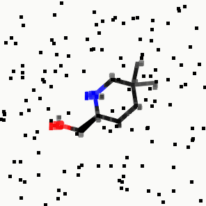 CC1(C)CC[C@@H](CO)NC1